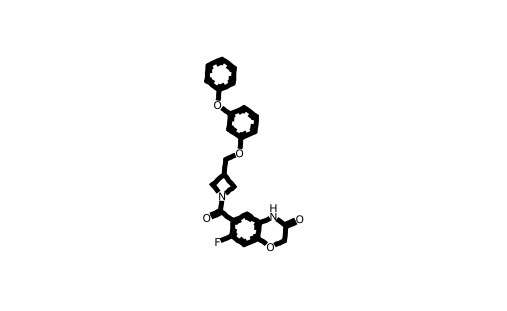 O=C1COc2cc(F)c(C(=O)N3CC(COc4cccc(Oc5ccccc5)c4)C3)cc2N1